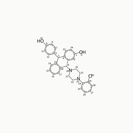 Oc1ccc(C(c2ccc(O)cc2)c2ccccc2CN2CCN(c3ccccc3Cl)CC2)cc1